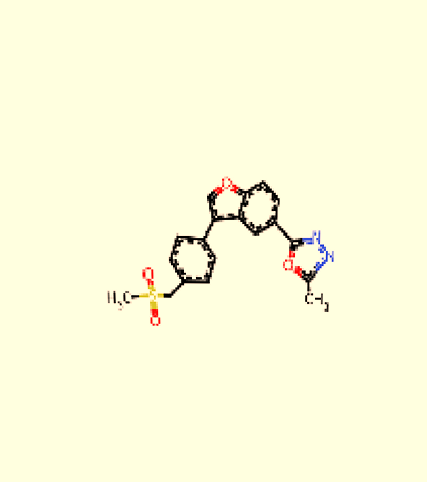 Cc1nnc(-c2ccc3occ(-c4ccc(CS(C)(=O)=O)cc4)c3c2)o1